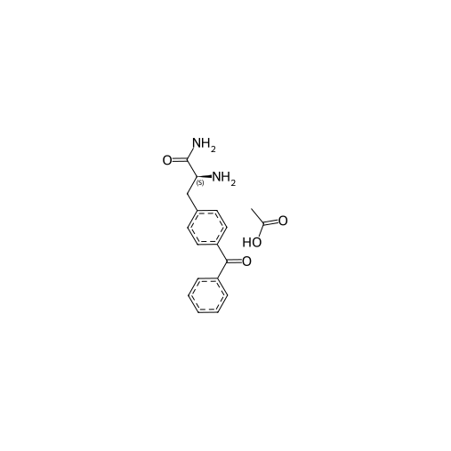 CC(=O)O.NC(=O)[C@@H](N)Cc1ccc(C(=O)c2ccccc2)cc1